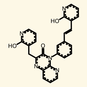 O=c1c(Cc2cccnc2O)nc2cccnc2n1-c1cccc(/C=C/c2cccnc2O)c1